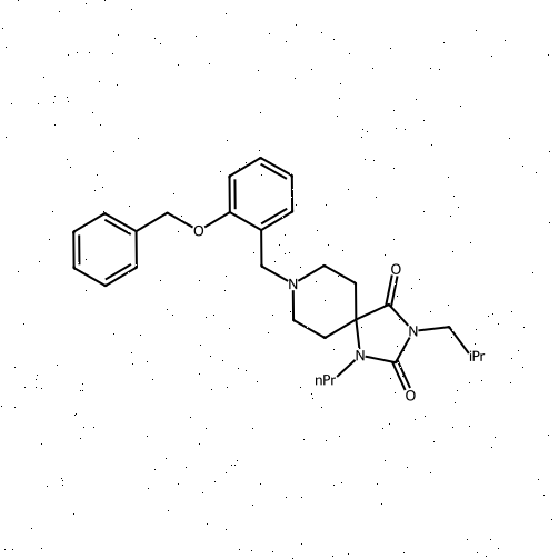 CCCN1C(=O)N(CC(C)C)C(=O)C12CCN(Cc1ccccc1OCc1ccccc1)CC2